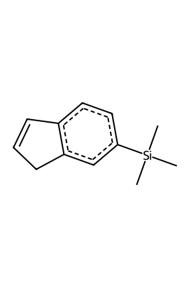 C[Si](C)(C)c1ccc2c(c1)CC=C2